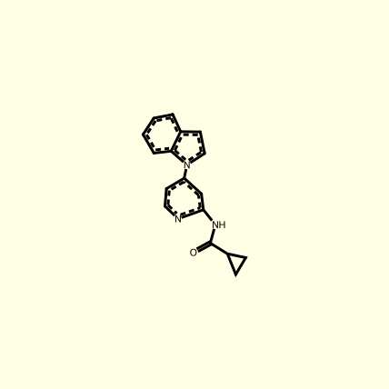 O=C(Nc1cc(-n2ccc3ccccc32)ccn1)C1CC1